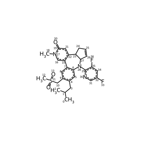 CC(C)Cc1cc2c(cc1CS(C)(=O)=O)-c1cn(C)c(=O)cc1C1CC=CC1N2c1ncc(F)cc1F